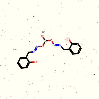 [Li+].[O-]B(ON=NCc1ccccc1O)ON=NCc1ccccc1O